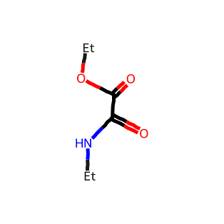 CCNC(=O)C(=O)OCC